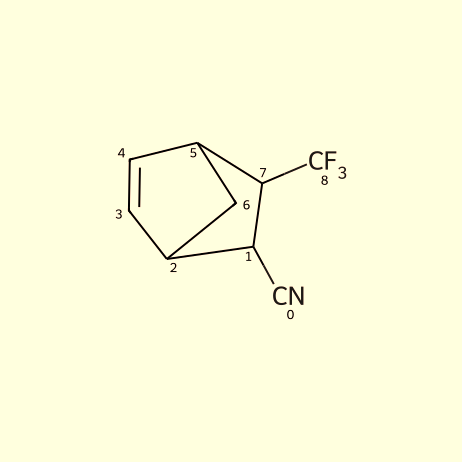 N#CC1C2C=CC(C2)C1C(F)(F)F